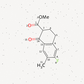 COC(=O)C1CCc2cc(F)c(C)cc2C1=O